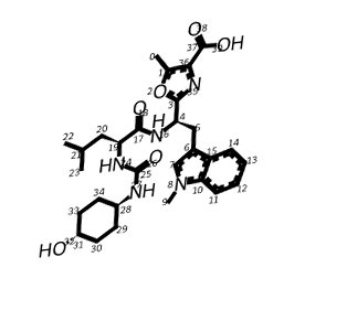 Cc1oc([C@@H](Cc2cn(C)c3ccccc23)NC(=O)[C@H](CC(C)C)NC(=O)N[C@H]2CC[C@H](O)CC2)nc1C(=O)O